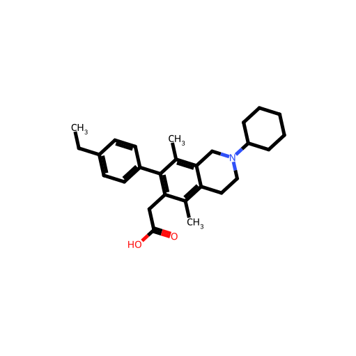 CCc1ccc(-c2c(C)c3c(c(C)c2CC(=O)O)CCN(C2CCCCC2)C3)cc1